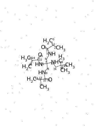 C=C(C)C(=O)NCC(CNC(=O)C(=C)C)(NCC(C)(C)C)NC(=O)C(=C)C